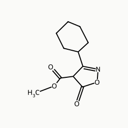 COC(=O)C1C(=O)ON=C1C1CCCCC1